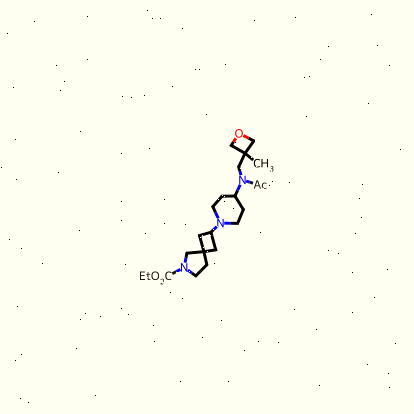 CCOC(=O)N1CCC2(CC(N3CCC(N(CC4(C)COC4)C(C)=O)CC3)C2)C1